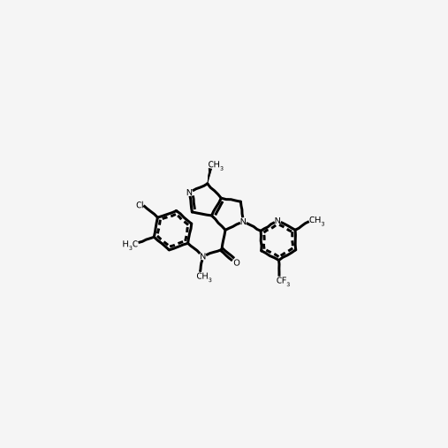 Cc1cc(C(F)(F)F)cc(N2CC3=C(C=N[C@H]3C)C2C(=O)N(C)c2ccc(Cl)c(C)c2)n1